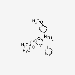 COc1ccc(N(C)C(=O)C(Cc2ccccc2)NC(=O)OC(C)(C)C)cc1